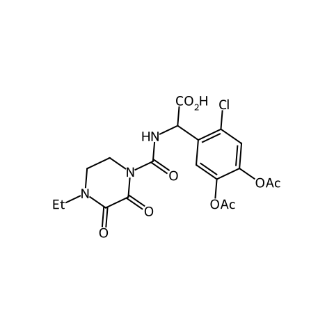 CCN1CCN(C(=O)NC(C(=O)O)c2cc(OC(C)=O)c(OC(C)=O)cc2Cl)C(=O)C1=O